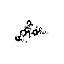 COC(=O)c1ccc(Nc2nc(N3CCCC3C)nc3c2CCN(c2ncccc2C(F)(F)F)CC3)cc1F